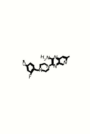 COc1ccc(CN2CCN(c3nc4cnc(C)cc4nc3N)CC2)c(F)c1